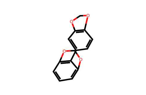 c1cc2c(-c3ccc4c(c3)OCO4)c(c1)OCO2